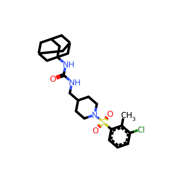 Cc1c(Cl)cccc1S(=O)(=O)N1CCC(CNC(=O)NC23CC4CC(CC(C4)C2)C3)CC1